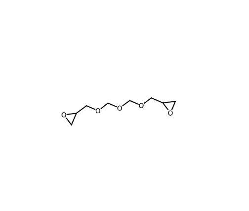 C(OCOCC1CO1)OCC1CO1